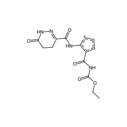 CCOC(=O)NC(=O)c1ccsc1NC(=O)C1=NNC(=O)CC1